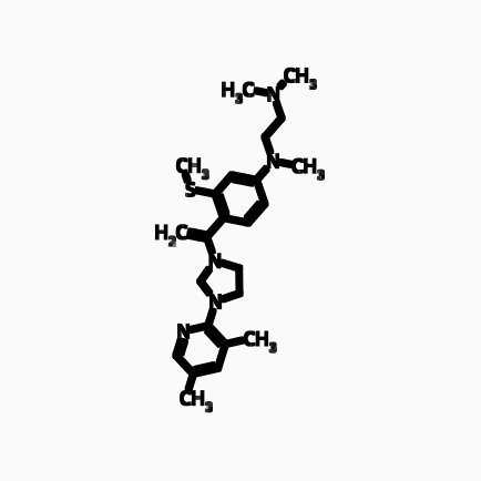 C=C(c1ccc(N(C)CCN(C)C)cc1SC)N1CCN(c2ncc(C)cc2C)C1